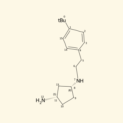 CC(C)(C)c1ccc(CCN[C@@H]2CC[C@H](N)C2)cc1